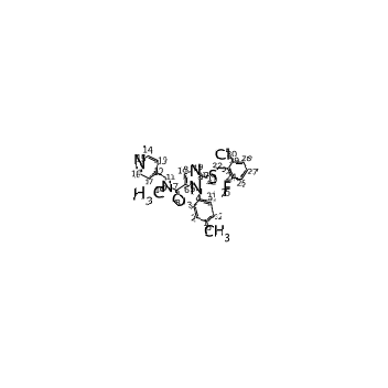 Cc1ccc(-n2c(C(=O)N(C)Cc3ccncc3)cnc2SCc2c(F)cccc2Cl)cc1